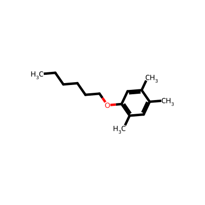 CCCCCCOc1cc(C)c(C)cc1C